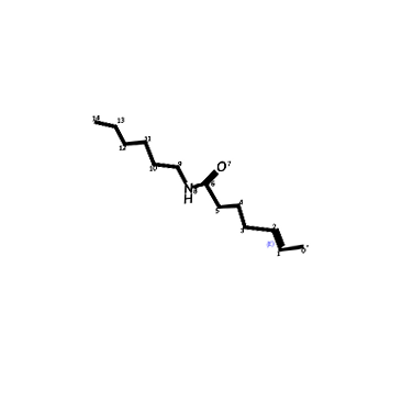 [CH2]/C=C/CCCC(=O)NCCCCCC